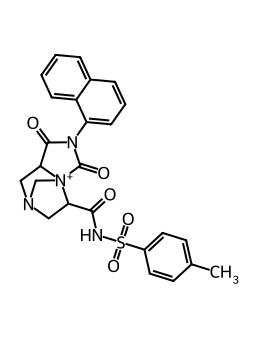 Cc1ccc(S(=O)(=O)NC(=O)C2CN3CC4C(=O)N(c5cccc6ccccc56)C(=O)[N+]24C3)cc1